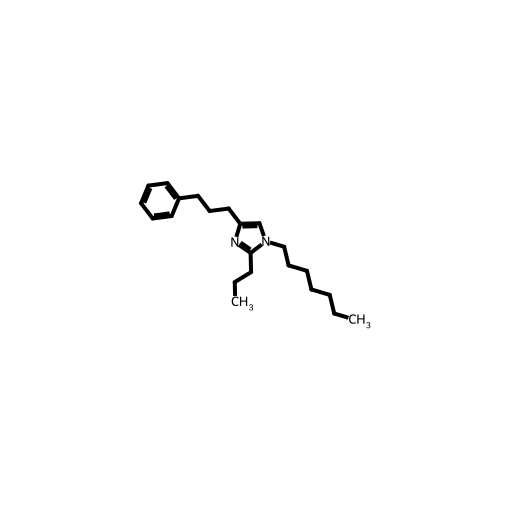 CCCCCCCn1cc(CCCc2ccccc2)nc1CCC